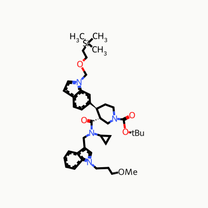 COCCCn1cc(CN(C(=O)[C@H]2CN(C(=O)OC(C)(C)C)CC[C@@H]2c2ccc3ccn(COCC[Si](C)(C)C)c3c2)C2CC2)c2ccccc21